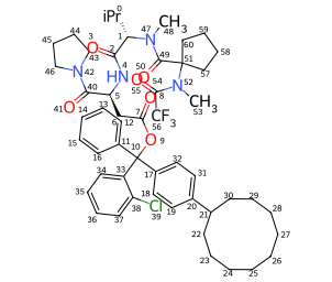 CC(C)[C@@H](C(=O)N[C@@H](CC(=O)OC(c1ccccc1)(c1ccc(C2CCCCCCCCC2)cc1)c1ccccc1Cl)C(=O)N1CCCC1)N(C)C(=O)C1(N(C)C(=O)C(F)(F)F)CCCC1